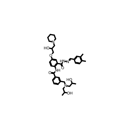 Cc1ccc(/C=N/NC(=O)c2cc(OCC(O)CN3CCCCC3)ccc2NC(=O)c2cccc(CN(CC(C)O)CC(C)O)c2)cc1C